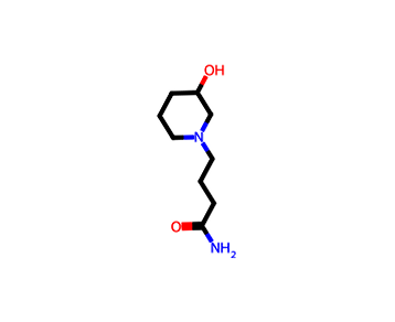 NC(=O)CCCN1CCCC(O)C1